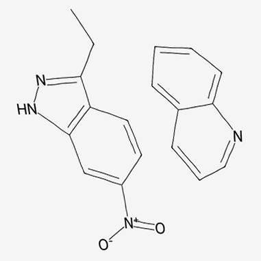 CCc1n[nH]c2cc([N+](=O)[O-])ccc12.c1ccc2ncccc2c1